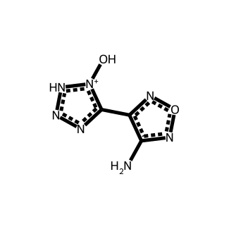 Nc1nonc1-c1nn[nH][n+]1O